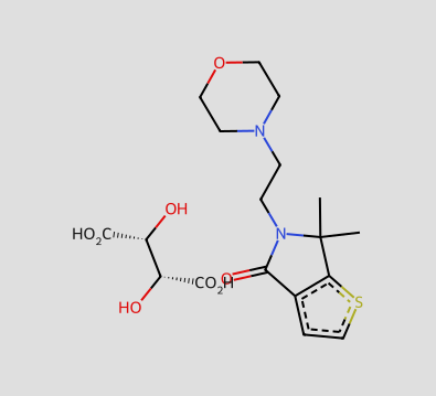 CC1(C)c2sccc2C(=O)N1CCN1CCOCC1.O=C(O)[C@H](O)[C@@H](O)C(=O)O